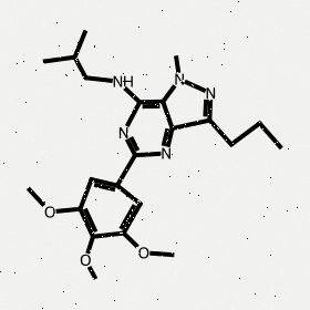 CCCc1nn(C)c2c(NCC(C)C)nc(-c3cc(OC)c(OC)c(OC)c3)nc12